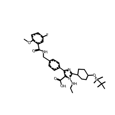 CCNn1c(C2CCC(O[Si](C)(C)C(C)(C)C)CC2)nc(-c2ccc(CNC(=O)c3cc(F)ccc3OC)cc2)c1C(=O)O